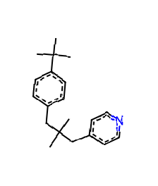 CC(C)(Cc1ccncc1)Cc1ccc(C(C)(C)C)cc1